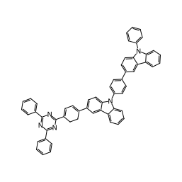 C1=C(c2ccc3c(c2)c2ccccc2n3-c2ccc(-c3ccc4c(c3)c3ccccc3n4-c3ccccc3)cc2)CCC(c2nc(-c3ccccc3)nc(-c3ccccc3)n2)=C1